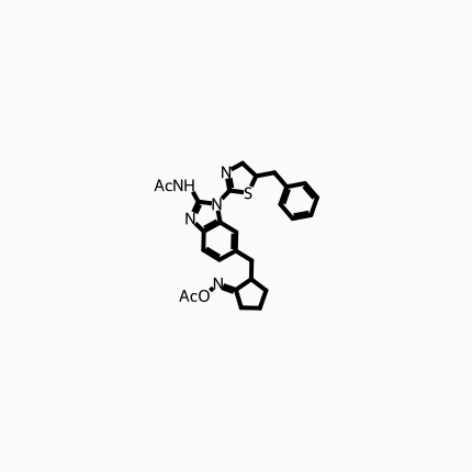 CC(=O)Nc1nc2ccc(CC3CCCC3=NOC(C)=O)cc2n1C1=NCC(Cc2ccccc2)S1